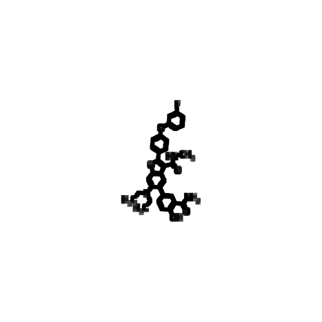 CCN(CC)c1cc2oc(-c3ccc(Oc4cccc(F)c4)cc3)c(C(=O)NC)c2cc1-c1ccc(O)c(C(N)=O)c1